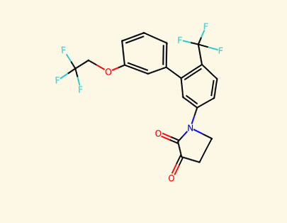 O=C1CCN(c2ccc(C(F)(F)F)c(-c3cccc(OCC(F)(F)F)c3)c2)C1=O